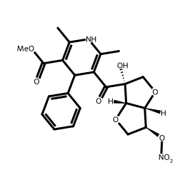 COC(=O)C1=C(C)NC(C)=C(C(=O)[C@@]2(O)CO[C@@H]3[C@@H](O[N+](=O)[O-])CO[C@@H]32)C1c1ccccc1